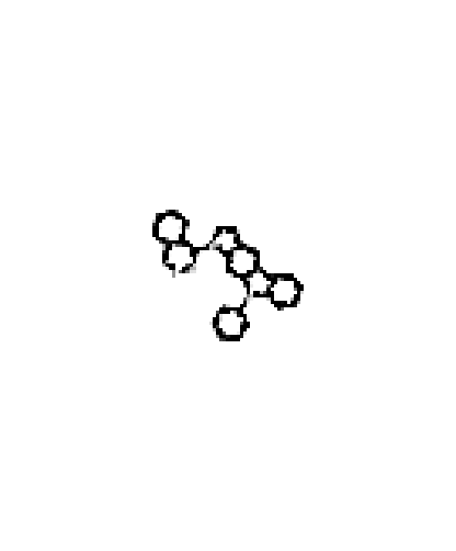 c1ccc(-n2c3ccccc3c3cc4ccn(-c5nncc6ccccc56)c4cc32)cc1